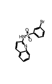 O=S(=O)(Nc1ccc2ccccc2n1)c1cccc(Br)c1